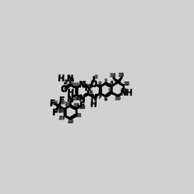 COc1cc2c(cc1Nc1nnc(C(N)=O)c(Nc3c(F)cccc3C(F)(F)F)n1)CNCC2(C)C